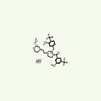 COC[C@@H]1CN(CCN2CCN(C(=O)c3cc(OC)cc(C(F)(F)F)c3)[C@H](Cc3ccc(C(F)(F)F)c(OC)c3)C2)CCO1.Cl.Cl